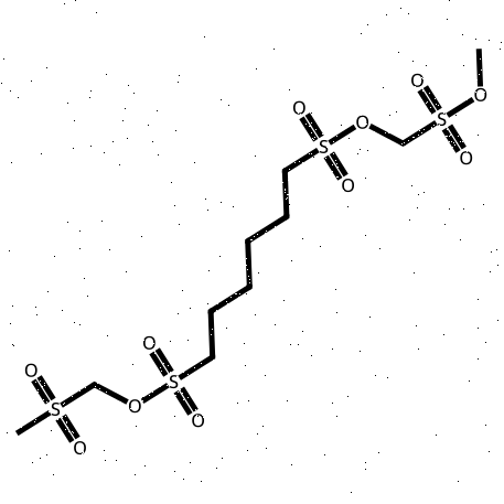 COS(=O)(=O)COS(=O)(=O)CCCCCCS(=O)(=O)OCS(C)(=O)=O